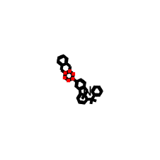 CC1(C)c2ccccc2N2c3ccc(-c4ccc5c(c4)C4c6ccccc6C5c5ccccc54)cc3C3=CC=CC1C32C